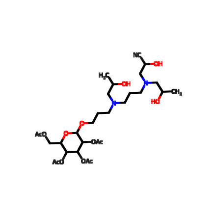 CC(=O)OCC1OC(OCCCN(CCCN(CC(C)O)CC(O)C#N)CC(C)O)C(OC(C)=O)C(OC(C)=O)C1OC(C)=O